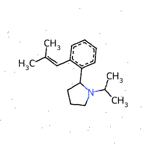 CC(C)=Cc1ccccc1C1CCCN1C(C)C